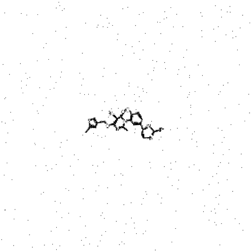 Cc1cc(COc2nc(C)n(-c3cc(-c4ccnc(C(C)C)n4)ccc3Cl)c(=O)c2Br)cs1